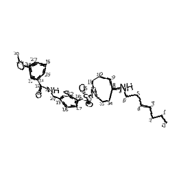 CCCCCCCNC1CCCN(S(=O)(=O)c2ccc(CNC(=O)c3cccc(OC)c3)s2)CC1